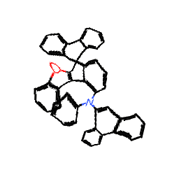 c1ccc(N(c2cccc3c2-c2c(oc4ccccc24)C32c3ccccc3-c3ccccc32)c2cc3ccccc3c3ccccc23)cc1